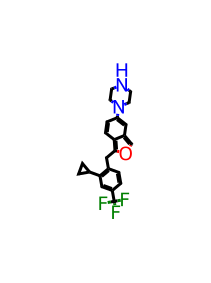 FC(F)(F)c1ccc(Cc2occ3cc(N4CCNCC4)ccc23)c(C2CC2)c1